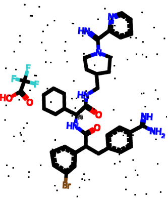 N=C(N)c1ccc(CC(C(=O)N[C@H](C(=O)NCC2CCN(C(=N)c3ccccn3)CC2)C2CCCCC2)c2cccc(Br)c2)cc1.O=C(O)C(F)(F)F